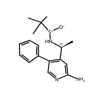 C[C@H](N[S+]([O-])C(C)(C)C)c1cc(N)ncc1-c1ccccc1